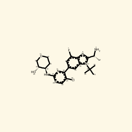 C[C@@H](N)c1nc2c(F)cc(-c3nc(N[C@@H]4CCOC[C@H]4O)ncc3Cl)cc2n1C(C)(C)C